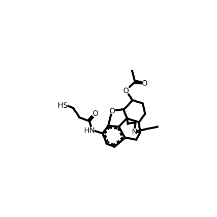 CC(=O)OC1CCC2C3Cc4ccc(NC(=O)CCS)c5c4C2(CCN3C)C1O5